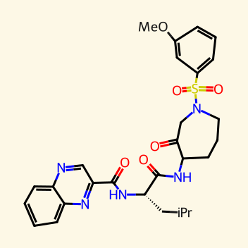 COc1cccc(S(=O)(=O)N2CCCC(NC(=O)[C@H](CC(C)C)NC(=O)c3cnc4ccccc4n3)C(=O)C2)c1